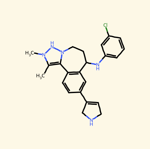 CC1=C2c3ccc(C4=CCNC4)cc3C(Nc3cccc(Cl)c3)CCN2NN1C